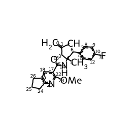 C=C(C)CC(C)(Cc1ccc(F)cc1)NC(=O)c1cc2c(nc1OC)CCC2